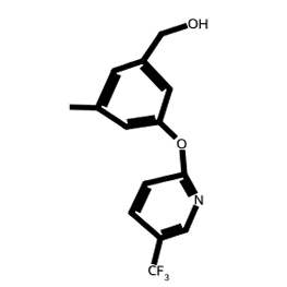 Cc1cc(CO)cc(Oc2ccc(C(F)(F)F)cn2)c1